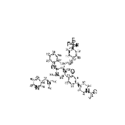 CC(=O)N1CCN(c2ccc(CN(C(=O)C=Cc3ccc(C(F)(F)F)cc3)[C@@H](Cc3ccccc3)C(=O)N(C)CCN(C)Cc3cccnc3)cc2)CC1